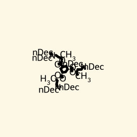 CCCCCCCCCCN(CCCCCCCCCC)CCC(C)OC(=O)C1C[C@H](C(=O)OC(C)CCN(CCCCCCCCCC)CCCCCCCCCC)C[C@H](C(=O)OC(C)CCN(CCCCCCCCCC)CCCCCCCCCC)C1